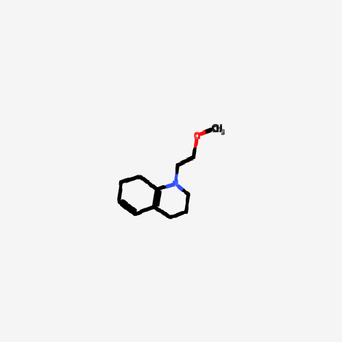 COCCN1CCCC2=C1CCC=C2